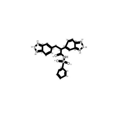 O=C(NS(=O)(=O)c1ccccc1)C(Cc1ccc2nsnc2c1)c1ccc2nsnc2c1